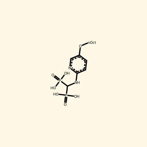 CCCCCCCCOc1ccc(NC(P(=O)(O)O)P(=O)(O)O)nc1